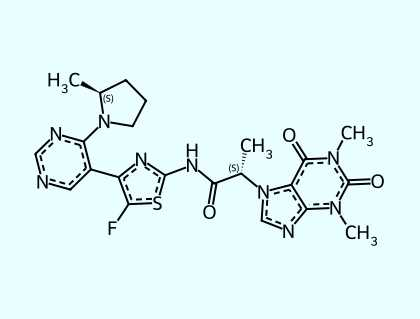 C[C@H]1CCCN1c1ncncc1-c1nc(NC(=O)[C@H](C)n2cnc3c2c(=O)n(C)c(=O)n3C)sc1F